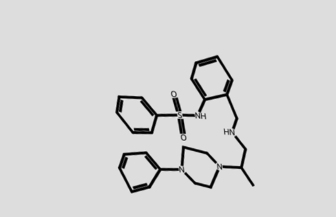 CC(CNCc1ccccc1NS(=O)(=O)c1ccccc1)N1CCN(c2ccccc2)CC1